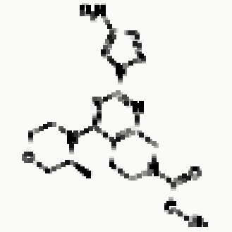 C[C@H]1COCCN1c1nc(-n2cc([N+](=O)[O-])cn2)nc2c1CCN(C(=O)OC(C)(C)C)C2